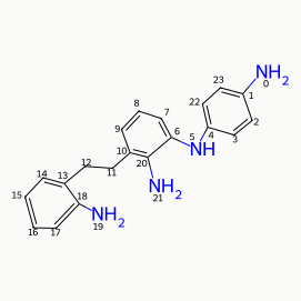 Nc1ccc(Nc2cccc(CCc3ccccc3N)c2N)cc1